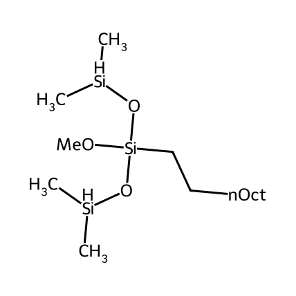 CCCCCCCCCC[Si](OC)(O[SiH](C)C)O[SiH](C)C